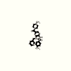 Cc1ccc(S(=O)(=O)Nc2ncc(C(=O)N3CCN(C)CC3)nc2OCc2cccnc2)cc1